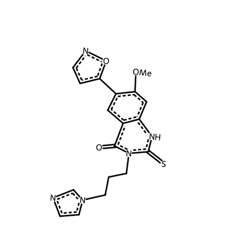 COc1cc2[nH]c(=S)n(CCCn3ccnc3)c(=O)c2cc1-c1ccno1